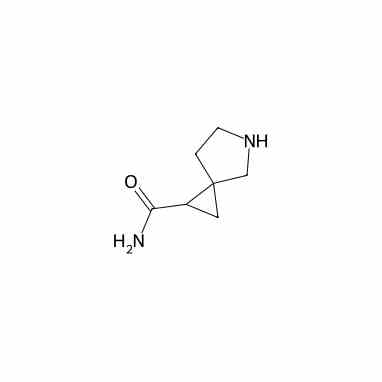 NC(=O)C1CC12CCNC2